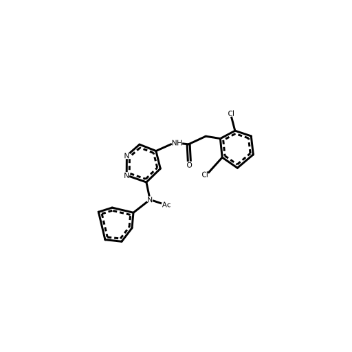 CC(=O)N(c1ccccc1)c1cc(NC(=O)Cc2c(Cl)cccc2Cl)cnn1